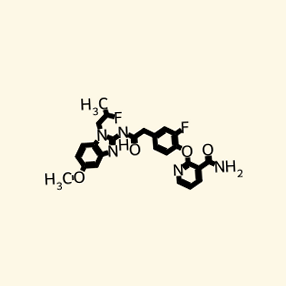 COc1ccc2c(c1)nc(NC(=O)Cc1ccc(Oc3ncccc3C(N)=O)c(F)c1)n2CC(C)F